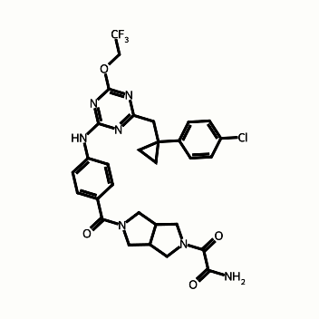 NC(=O)C(=O)N1CC2CN(C(=O)c3ccc(Nc4nc(CC5(c6ccc(Cl)cc6)CC5)nc(OCC(F)(F)F)n4)cc3)CC2C1